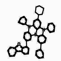 c1ccc(-c2ccc3c(c2)B2c4cc(-c5cccc6c5oc5ccccc56)ccc4N(c4ccccc4)c4cc(C5CCCCC5)cc(c42)N3c2ccccc2)cc1